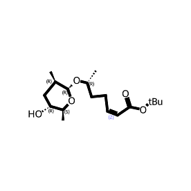 C[C@H](CC/C=C\C(=O)OC(C)(C)C)O[C@@H]1O[C@@H](C)[C@H](O)C[C@H]1C